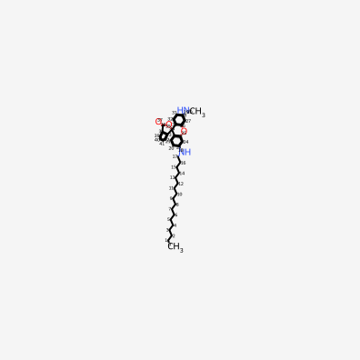 CCCCCCCCCCCCCCCCCCNc1ccc2c(c1)Oc1cc(NC)ccc1C21OC(=O)c2ccccc21